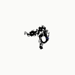 CC(C)Oc1ccc(-c2cc(O[C@@H]3C[C@H]4C(=O)N[C@]5(C(=O)NS(=O)(=O)C6CC6)C[C@H]5/C=C\CCCCC[C@H](NC(=O)OC5CCCC5)C(=O)N4C3)n3nc4cc(OC(C)C)ccc4c3n2)cc1